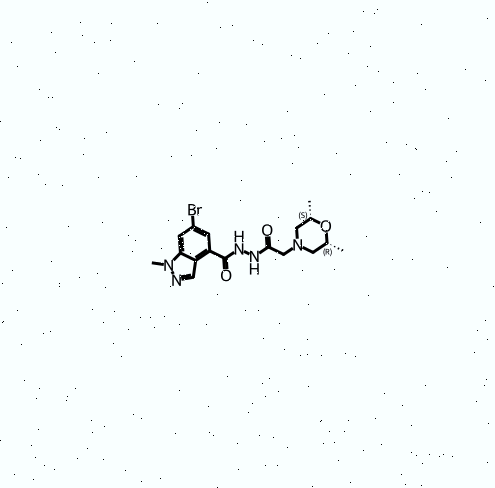 C[C@@H]1CN(CC(=O)NNC(=O)c2cc(Br)cc3c2cnn3C)C[C@H](C)O1